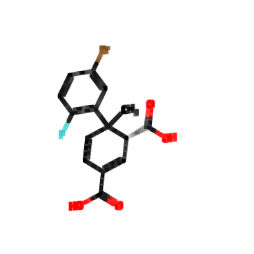 CC1(c2cc(Br)ccc2F)C=CC(C(=O)O)=C[C@H]1C(=O)O